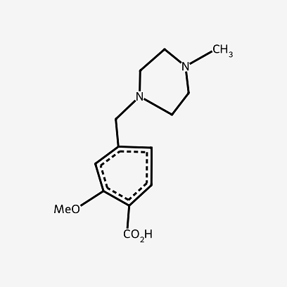 COc1cc(CN2CCN(C)CC2)ccc1C(=O)O